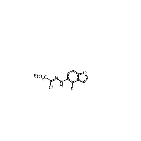 CCOC(=O)C(Cl)=NNc1ccc2occc2c1F